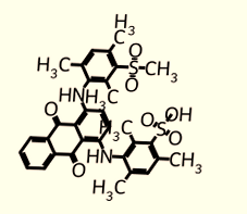 Cc1cc(C)c(S(C)(=O)=O)c(C)c1Nc1ccc(Nc2c(C)cc(C)c(S(=O)(=O)O)c2C)c2c1C(=O)c1ccccc1C2=O